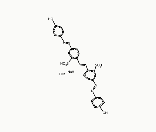 O=S(=O)(O)c1cc(/N=N/c2ccc(O)cc2)ccc1/C=C/c1ccc(/N=N/c2ccc(O)cc2)cc1S(=O)(=O)O.[NaH].[NaH]